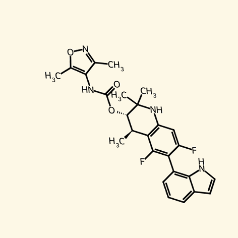 Cc1noc(C)c1NC(=O)O[C@H]1[C@H](C)c2c(cc(F)c(-c3cccc4cc[nH]c34)c2F)NC1(C)C